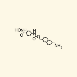 NCc1ccc2cc(COC(=O)Nc3ccc(C(=O)NO)cc3)ccc2c1